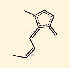 C=c1ccn(C)/c1=C/C=C\C